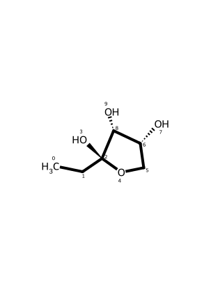 CC[C@@]1(O)OC[C@@H](O)[C@H]1O